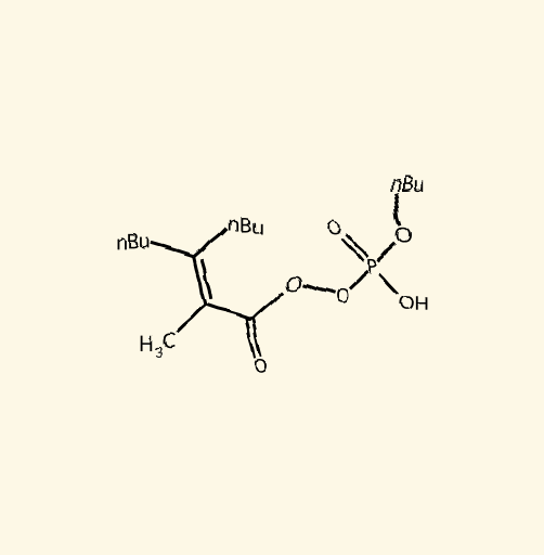 CCCCOP(=O)(O)OOC(=O)C(C)=C(CCCC)CCCC